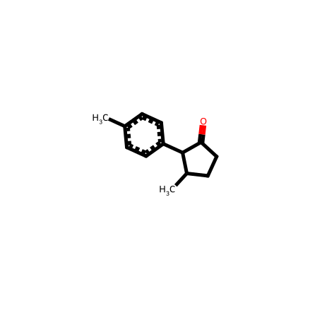 Cc1ccc(C2C(=O)CCC2C)cc1